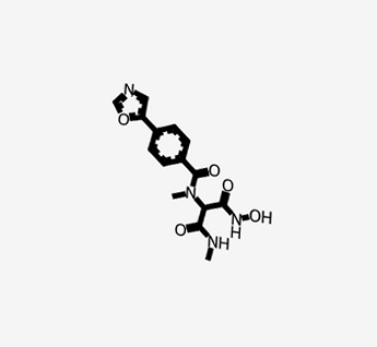 CNC(=O)C(C(=O)NO)N(C)C(=O)c1ccc(-c2cnco2)cc1